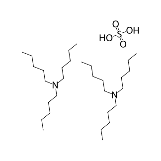 CCCCCN(CCCCC)CCCCC.CCCCCN(CCCCC)CCCCC.O=S(=O)(O)O